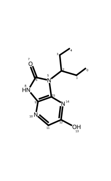 CCC(CC)n1c(=O)[nH]c2ncc(O)nc21